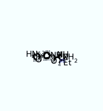 CC/C(N)=C(\C)C(=N)C(=O)Nc1ccc([C@H]2CNCCO2)cc1